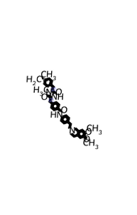 C=C(C)[C@@H]1CC=C(/C=c2/c(=O)[nH]/c(=C\c3ccc(C(=O)Nc4ccc(CCN5CCc6cc(OC)c(OC)cc6C5)cc4)cc3)c(=O)n2C)CC1